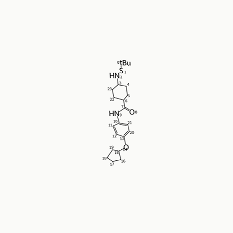 CC(C)(C)SNC1CCC(C(=O)Nc2ccc(OC3CCCC3)cc2)CC1